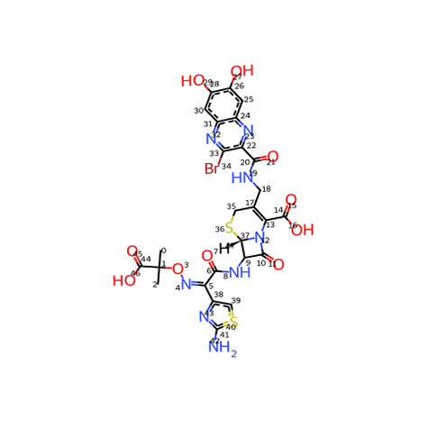 CC(C)(O/N=C(\C(=O)NC1C(=O)N2C(C(=O)O)=C(CNC(=O)c3nc4cc(O)c(O)cc4nc3Br)CS[C@@H]12)c1csc(N)n1)C(=O)O